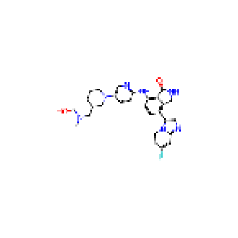 CN(CO)CC1CCCN(c2ccc(Nc3ccc(-c4cnc5cc(F)ccn45)c4c3C(=O)NC4)nc2)C1